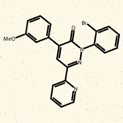 COc1cccc(-c2cc(-c3ccccn3)nn(-c3ccccc3Br)c2=O)c1